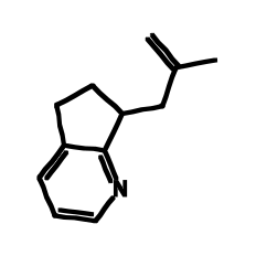 C=C(C)CC1CCc2cccnc21